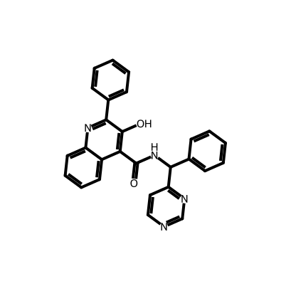 O=C(NC(c1ccccc1)c1ccncn1)c1c(O)c(-c2ccccc2)nc2ccccc12